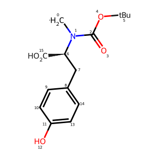 [CH2]N(C(=O)OC(C)(C)C)[C@@H](Cc1ccc(O)cc1)C(=O)O